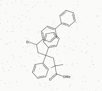 CCC(CC(CC(C)(C)C(=O)OC)(c1ccccc1)c1ccccc1)c1ccc(-c2ccccc2)cc1